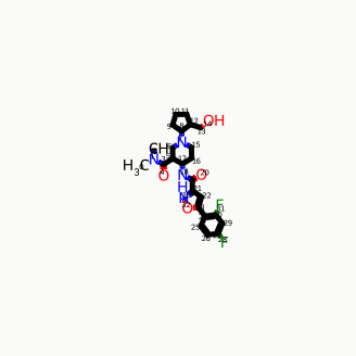 CN(C)C(=O)C1CN(C2CCCC2CO)CCC1NC(=O)c1cc(-c2ccc(F)cc2F)on1